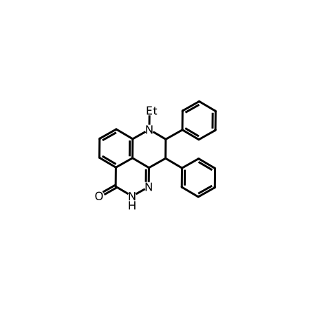 CCN1c2cccc3c(=O)[nH]nc(c23)C(c2ccccc2)C1c1ccccc1